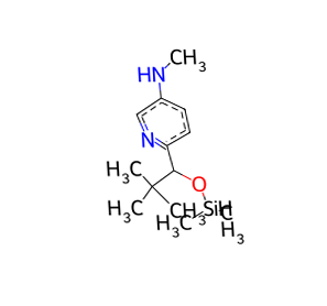 CNc1ccc(C(O[SiH](C)C)C(C)(C)C)nc1